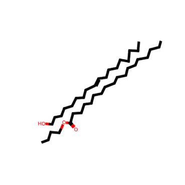 CCCCCCCCC=CCCCCCCCCO.CCCCCCCCCCCCCCCCCC(=O)OCCCC